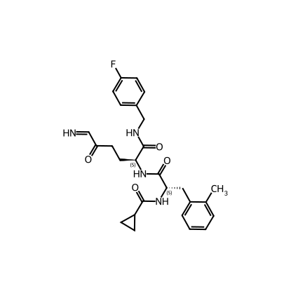 Cc1ccccc1C[C@H](NC(=O)C1CC1)C(=O)N[C@@H](CCC(=O)C=N)C(=O)NCc1ccc(F)cc1